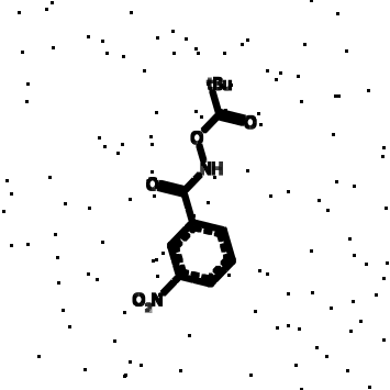 CC(C)(C)C(=O)ONC(=O)c1cccc([N+](=O)[O-])c1